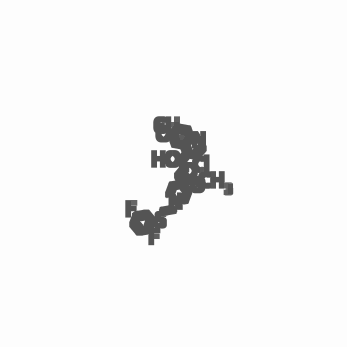 COC(=O)C1(CC[C@@H](O)c2c(Cl)cnc3ccc(OC)cc23)CCN(CCSc2cc(F)ccc2F)CC1